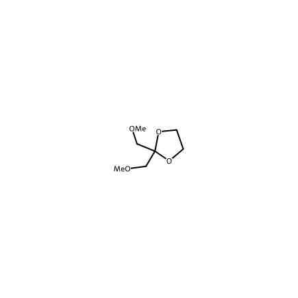 COCC1(COC)OCCO1